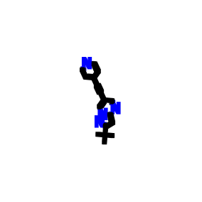 CC(C)(C)c1cc2ncc(C#Cc3ccncc3)cn2n1